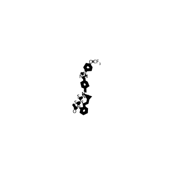 O=C1CS/C(=N\C(=S)N/N=C/c2ccc(-c3ncn(-c4ccc(OC(F)(F)F)cc4)n3)cc2)N1c1ccccc1CCC1CC1